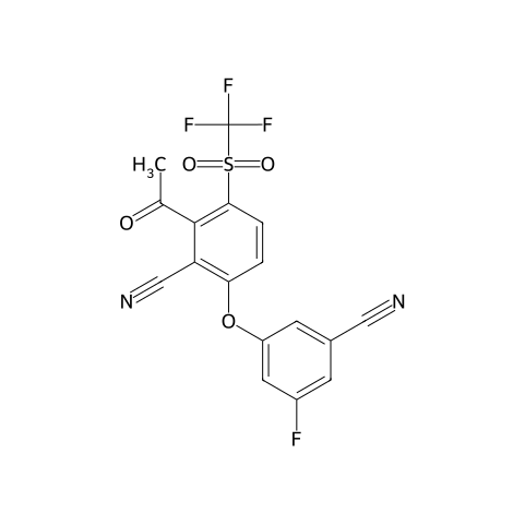 CC(=O)c1c(S(=O)(=O)C(F)(F)F)ccc(Oc2cc(F)cc(C#N)c2)c1C#N